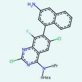 CCCCCCN(CCC)c1nc(Cl)nc2c(F)c(-c3cc(N)cc4ccccc34)c(Cl)cc12